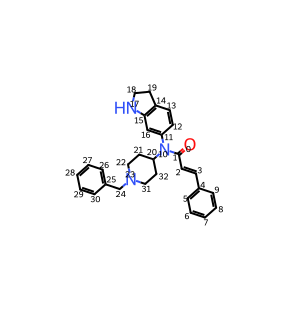 O=C(C=Cc1ccccc1)N(c1ccc2c(c1)NCC2)C1CCN(Cc2ccccc2)CC1